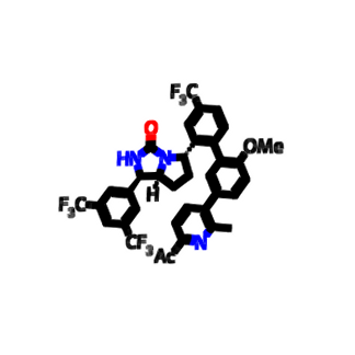 COc1ccc(-c2ccc(C(C)=O)nc2C)cc1-c1ccc(C(F)(F)F)cc1[C@@H]1CC[C@H]2[C@@H](c3cc(C(F)(F)F)cc(C(F)(F)F)c3)NC(=O)N12